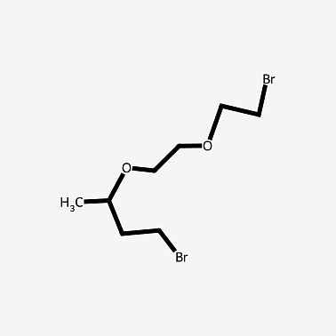 CC(CCBr)OCCOCCBr